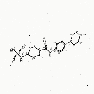 CC(C)(C)S(=O)(=O)NC1CCC(C(=O)Nc2ccc(N3CCSCC3)cc2)CC1